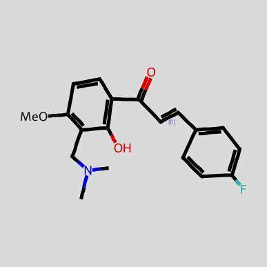 COc1ccc(C(=O)/C=C/c2ccc(F)cc2)c(O)c1CN(C)C